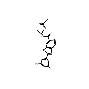 CC(OC(=O)c1ccc2nc(-c3cc(Cl)cc(Cl)c3)oc2c1)OC(=O)C(C)C